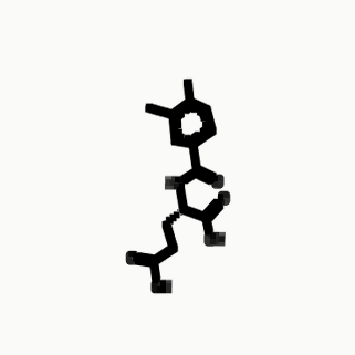 Cc1ccc(C(=O)N[C@@H](CCC(=O)O)C(=O)O)cc1C